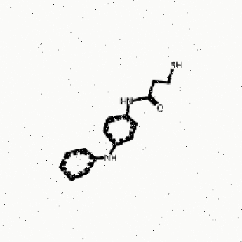 O=C(CCS)Nc1ccc(Nc2ccccc2)cc1